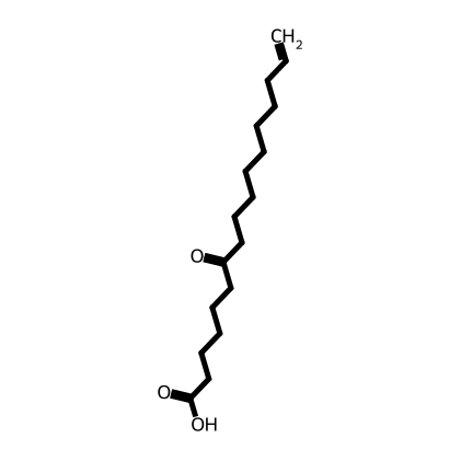 C=CCCCCCCCCC(=O)CCCCCC(=O)O